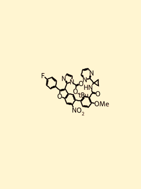 COc1ccc(-c2cc3c(-c4nccn4C(=O)OC(C)(C)C)c(-c4ccc(F)cc4)oc3cc2[N+](=O)[O-])cc1C(=O)NC1(c2ncccn2)CC1